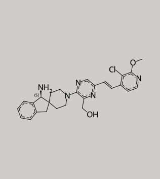 COc1nccc(C=Cc2cnc(N3CCC4(CC3)Cc3ccccc3[C@H]4N)c(CO)n2)c1Cl